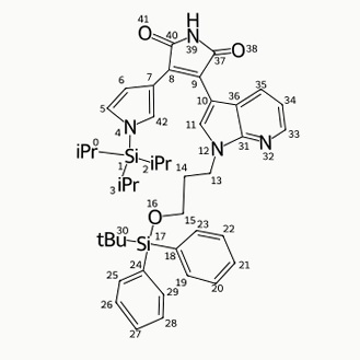 CC(C)[Si](C(C)C)(C(C)C)n1ccc(C2=C(c3cn(CCCO[Si](c4ccccc4)(c4ccccc4)C(C)(C)C)c4ncccc34)C(=O)NC2=O)c1